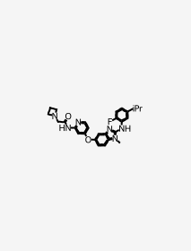 CC(C)c1ccc(F)c(Nc2nc3cc(Oc4ccnc(NC(=O)CN5CCC5)c4)ccc3n2C)c1